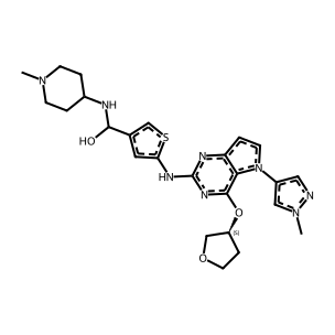 CN1CCC(NC(O)c2csc(Nc3nc(O[C@H]4CCOC4)c4c(ccn4-c4cnn(C)c4)n3)c2)CC1